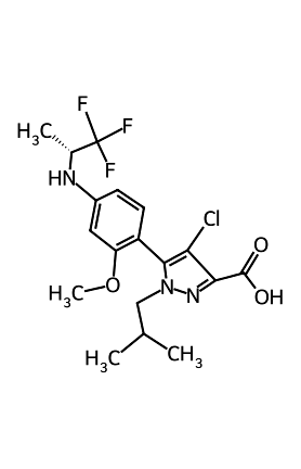 COc1cc(N[C@H](C)C(F)(F)F)ccc1-c1c(Cl)c(C(=O)O)nn1CC(C)C